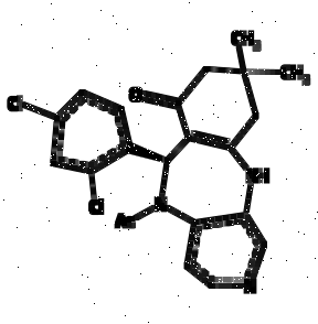 CC(=O)N1c2ccncc2NC2=C(C(=O)CC(C)(C)C2)[C@@H]1c1ccc(Cl)cc1Cl